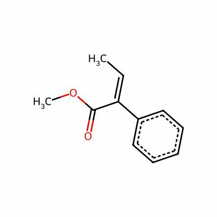 CC=C(C(=O)OC)c1ccccc1